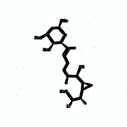 CC[C@H](OC)[C@@H](C)[C@@H]1C[C@H]1[C@H](O)[C@@H](C)CC/C=C(\C)[C@H]1O[C@@H](OC)C[C@H](OC)[C@H]1OC